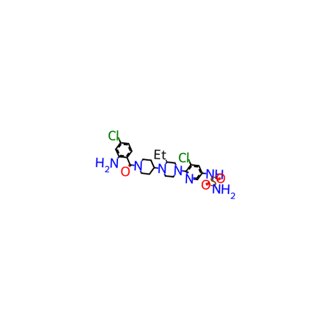 CC[C@H]1CN(c2ncc(NS(N)(=O)=O)cc2Cl)CCN1C1CCN(C(=O)c2ccc(Cl)cc2N)CC1